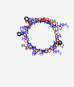 CCCC[C@H]1C(=O)N(C)[C@@H](CCCC)C(=O)N[C@@H]([C@@H](C)O)C(=O)N[C@H](C(=O)NCC(N)=O)CSCC(=O)N[C@@H](Cc2ccccc2)C(=O)N(C)[C@@H](C)C(=O)N[C@@H](CC(N)=O)C(=O)N2CCC[C@H]2C(=O)N[C@@H](Cc2cnc[nH]2)C(=O)N[C@@H](CC(C)C)C(=O)N(C)CC(=O)N[C@@H](Cc2c[nH]c3ccccc23)C(=O)N[C@@H](CO)C(=O)N[C@@H](Cc2c[nH]c3ccccc23)C(=O)N1C